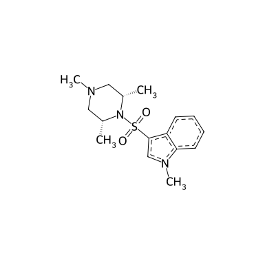 C[C@@H]1CN(C)C[C@H](C)N1S(=O)(=O)c1cn(C)c2ccccc12